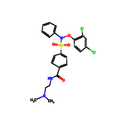 CN(C)CCNC(=O)c1ccc(S(=O)(=O)N(Oc2ccc(Cl)cc2Cl)c2ccccc2)cc1